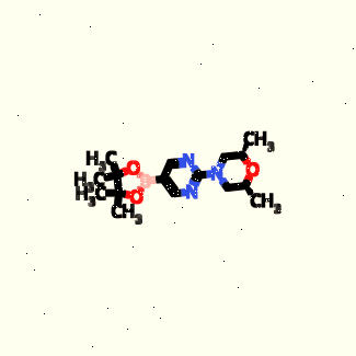 C[C@H]1CN(c2ncc(B3OC(C)(C)C(C)(C)O3)cn2)C[C@H](C)O1